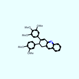 COc1ccc(C2Cc3cc4ccccc4nc3C=C2c2cc(OC)c(OC)c(OC)c2)cc1OC